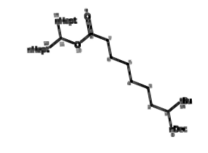 CCCCCCCCCCC(CCCCCCC(=O)OC(CCCCCCC)CCCCCCC)C(C)(C)C